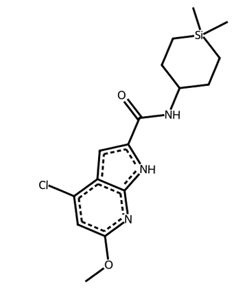 COc1cc(Cl)c2cc(C(=O)NC3CC[Si](C)(C)CC3)[nH]c2n1